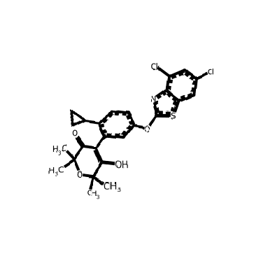 CC1(C)OC(C)(C)C(O)=C(c2cc(Oc3nc4c(Cl)cc(Cl)cc4s3)ccc2C2CC2)C1=O